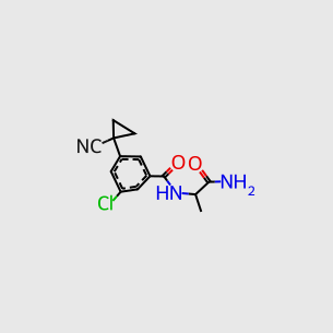 CC(NC(=O)c1cc(Cl)cc(C2(C#N)CC2)c1)C(N)=O